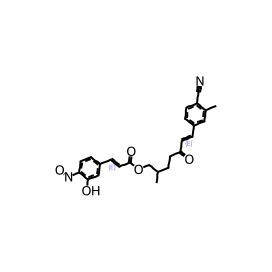 Cc1cc(/C=C/C(=O)CCC(C)COC(=O)/C=C/c2ccc(N=O)c(O)c2)ccc1C#N